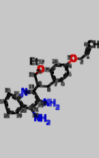 C#CCOc1ccc(CC(COCC)c2nc3ccccc3c(N)c2N)cc1